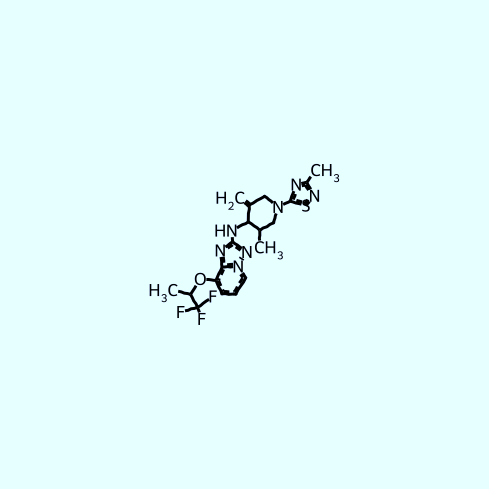 C=C1CN(c2nc(C)ns2)CC(C)C1Nc1nc2c(OC(C)C(F)(F)F)cccn2n1